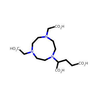 O=C(O)CCC(C(=O)O)N1CCN(CC(=O)O)CCN(CC(=O)O)CC1